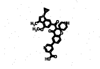 COc1cc(C(=O)C2C(=O)c3cc(-c4cncc(C(=O)O)c4)ccc3OC23CCNCC3)cc2c1c(C)cn2C1CC1